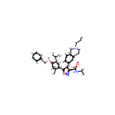 CCCN1CCc2cc(-c3c(C(=O)NCC)noc3-c3cc(C(C)C)c(OCc4ccccc4)cc3C)ccc2C1